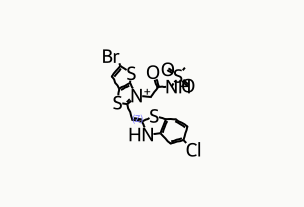 CS(=O)(=O)NC(=O)C[n+]1c(/C=C2/Nc3cc(Cl)ccc3S2)sc2cc(Br)sc21